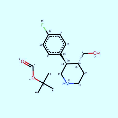 CC(C)(C)OC=O.OC[C@@H]1CCNC[C@H]1c1ccc(F)cc1